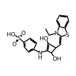 CCN1C(=CC2C(O)=C(Nc3ccc(S(=O)(=O)O)cc3)C2O)Sc2ccccc21